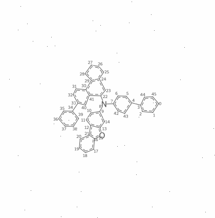 c1ccc(-c2ccc(N(c3ccc4c(c3)oc3ccccc34)c3cc4ccccc4c4ccc(-c5ccccc5)cc34)cc2)cc1